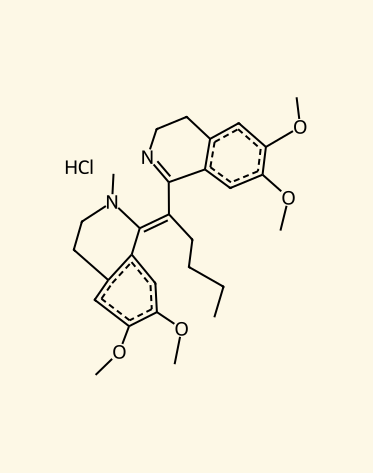 CCCCC(C1=NCCc2cc(OC)c(OC)cc21)=C1c2cc(OC)c(OC)cc2CCN1C.Cl